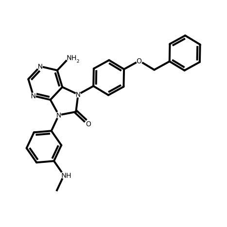 CNc1cccc(-n2c(=O)n(-c3ccc(OCc4ccccc4)cc3)c3c(N)ncnc32)c1